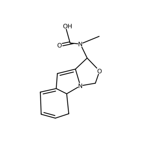 CN(C(=O)O)C1OCN2C1=CC1=CC=CCC12